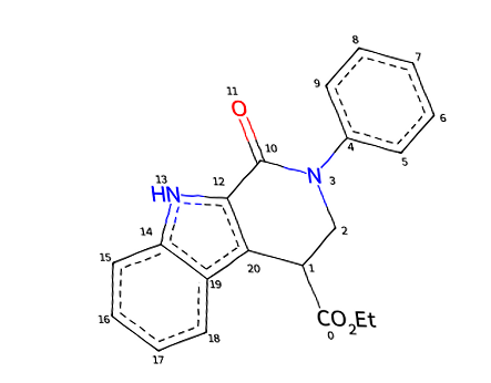 CCOC(=O)C1CN(c2ccccc2)C(=O)c2[nH]c3ccccc3c21